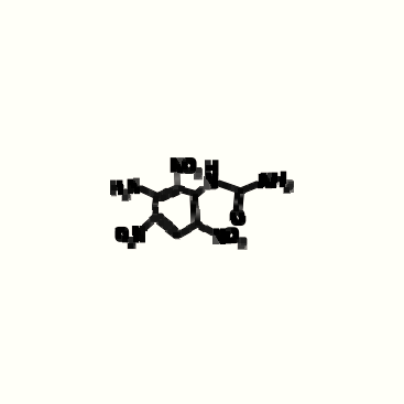 NC(=O)Nc1c([N+](=O)[O-])cc([N+](=O)[O-])c(N)c1[N+](=O)[O-]